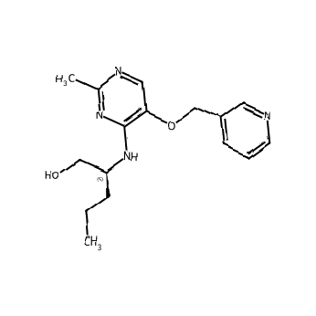 CCC[C@@H](CO)Nc1nc(C)ncc1OCc1cccnc1